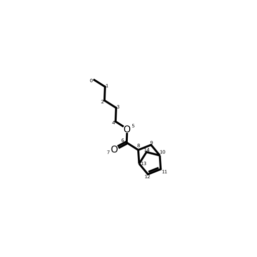 CCCCCOC(=O)C1CC2C=CC1C2